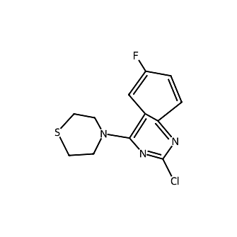 Fc1ccc2nc(Cl)nc(N3CCSCC3)c2c1